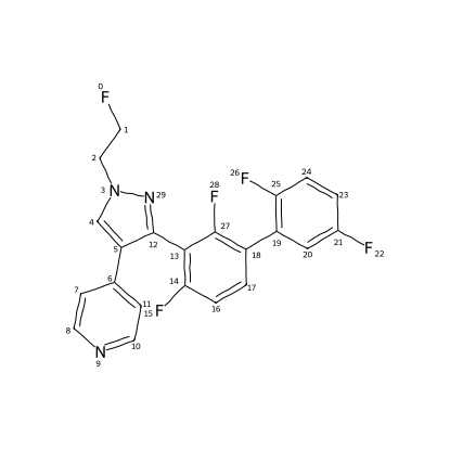 FCCn1cc(-c2ccncc2)c(-c2c(F)ccc(-c3cc(F)ccc3F)c2F)n1